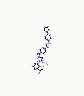 Cc1csc2c(-n3nc(Nc4ccc(/C=C/CN5CCC(N6CCCC6)CC5)nc4)nc3N)ncnc12